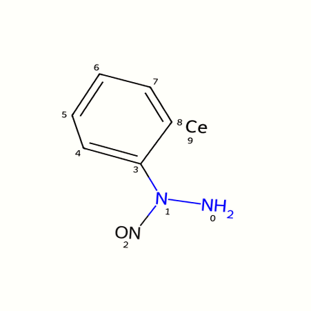 NN(N=O)c1ccccc1.[Ce]